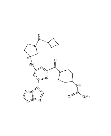 COC(=O)NC1CCN(C(=O)c2cc(N[C@@H]3CCN(C(=O)C4CCC4)C3)nc(-c3cnn4ccsc34)n2)CC1